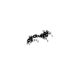 CN(C)c1nc(N[C@H]2CC[C@@H](CNC(=O)CN(C)S(=O)(=O)c3cccc4c(N(C)C)cccc34)CC2)nc2ccccc12